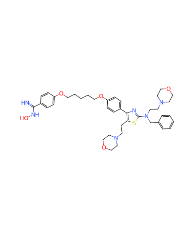 N=C(NO)c1ccc(OCCCCCOc2ccc(-c3nc(N(CCN4CCOCC4)Cc4ccccc4)sc3CCN3CCOCC3)cc2)cc1